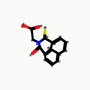 O=C(O)CN1C(=O)c2cccc3cccc(c23)C1=S